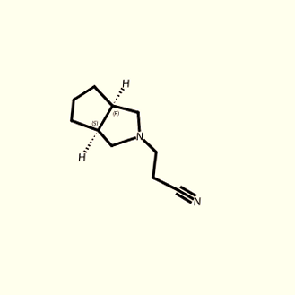 N#CCCN1C[C@H]2CCC[C@H]2C1